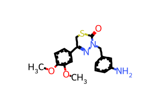 COc1ccc(C2=NN(Cc3cccc(N)c3)C(=O)SC2)cc1OC